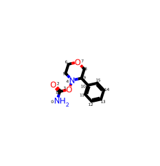 NC(=O)ON1CCOCC1c1ccccc1